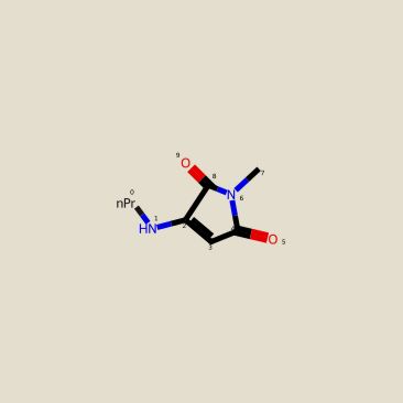 CCCNC1=CC(=O)N(C)C1=O